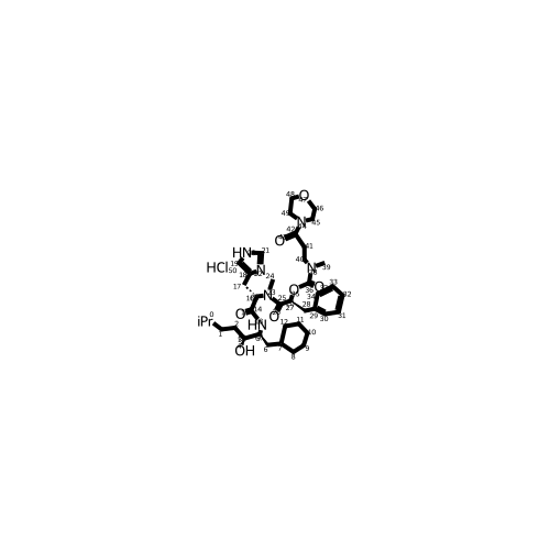 CC(C)CC[C@H](O)[C@H](CC1CCCCC1)NC(=O)[C@H](Cc1c[nH]cn1)N(C)C(=O)[C@H](Cc1ccccc1)OC(=O)N(C)CCC(=O)N1CCOCC1.Cl